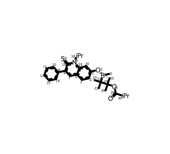 CB(Oc1ccc2cc(-c3ccccc3)c(=S)n(C(C)C)c2c1)C(C)(C)C(C)(C)OC(=O)C(C)C